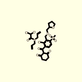 C=CCN(CC=C)C(=O)C(Cl)Cl.CS(=O)(=O)c1ccc(C(=O)C2C(=O)CCCC2=O)c(Cl)c1COCC1CCCO1